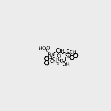 CC1(C)C(/C=C/C2=C(Cl)C(/C=C/C3N(CCC(=O)O)c4ccc5ccccc5c4C3(C)C)CCC2)=[N+](CCC(=O)O)c2ccc3ccccc3c21